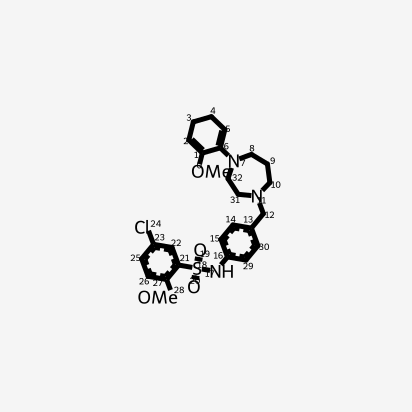 COC1=CCCC=C1N1CCCN(Cc2ccc(NS(=O)(=O)c3cc(Cl)ccc3OC)cc2)CC1